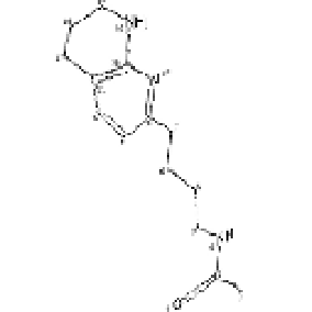 CC(=O)NCCCCc1ccc2c(n1)NCCC2